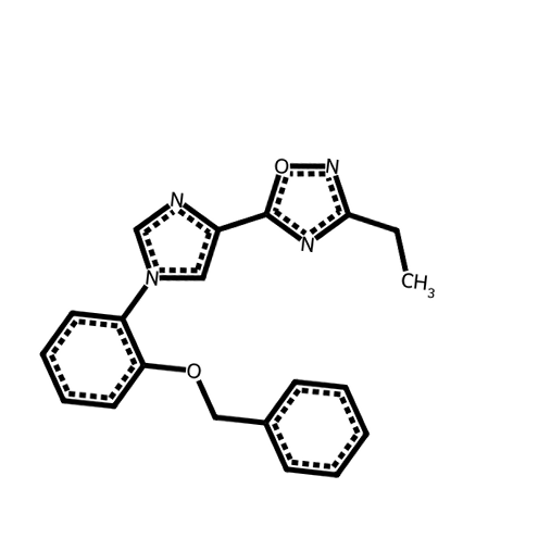 CCc1noc(-c2cn(-c3ccccc3OCc3ccccc3)cn2)n1